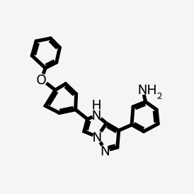 Nc1cccc(-c2cnn3cc(-c4ccc(Oc5ccccc5)cc4)[nH]c23)c1